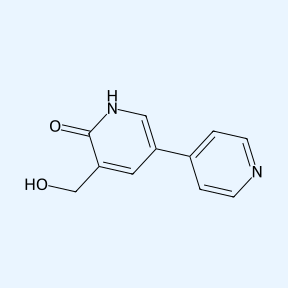 O=c1[nH]cc(-c2ccncc2)cc1CO